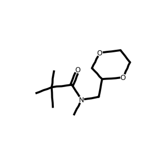 CN(CC1COCCO1)C(=O)C(C)(C)C